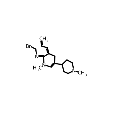 C=C/C=C1/CC(C2CCN(C)CC2)=CN(C)/C1=N/CBr